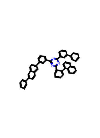 c1ccc(-c2cccc(-c3nc(-c4cccc(-c5ccc6cc(-c7ccccc7)ccc6c5)c4)nc(-c4ccccc4-c4cccc5ccccc45)n3)c2)cc1